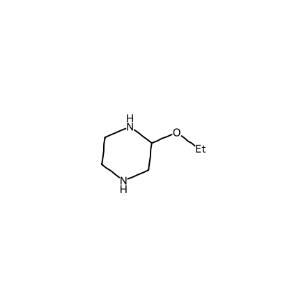 CCOC1CNCCN1